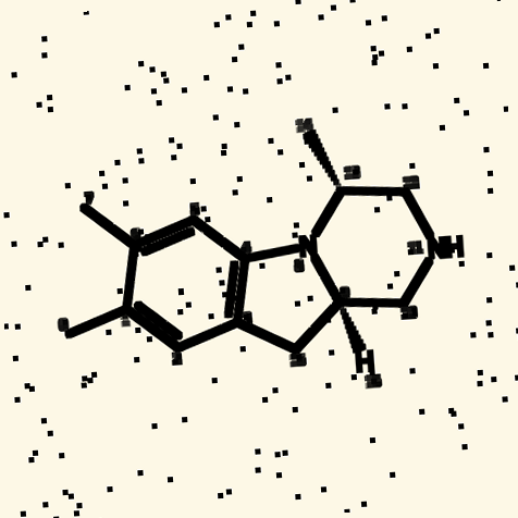 Cc1cc2c(cc1C)N1[C@@H](CNC[C@H]1C)C2